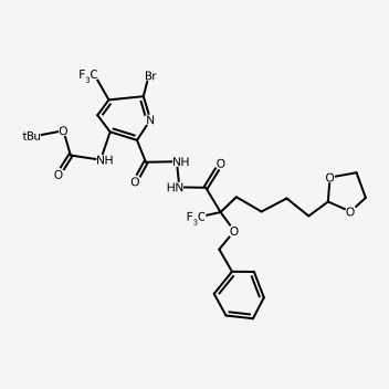 CC(C)(C)OC(=O)Nc1cc(C(F)(F)F)c(Br)nc1C(=O)NNC(=O)C(CCCCC1OCCO1)(OCc1ccccc1)C(F)(F)F